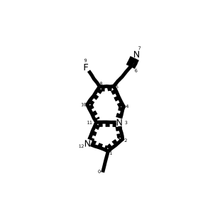 Cc1cn2cc(C#N)c(F)cc2n1